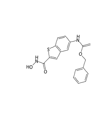 C=C(Nc1ccc2sc(C(=O)NO)cc2c1)OCc1ccccc1